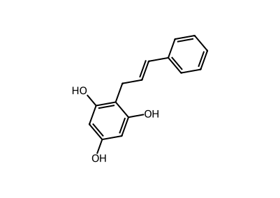 Oc1cc(O)c(CC=Cc2ccccc2)c(O)c1